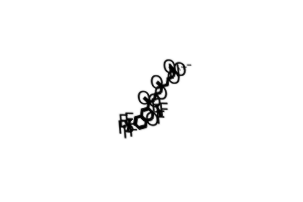 O=C(CCO[N+](=O)[O-])OCOC(=O)C1=Cc2cc(S(F)(F)(F)(F)F)ccc2O[C@@H]1C(F)(F)F